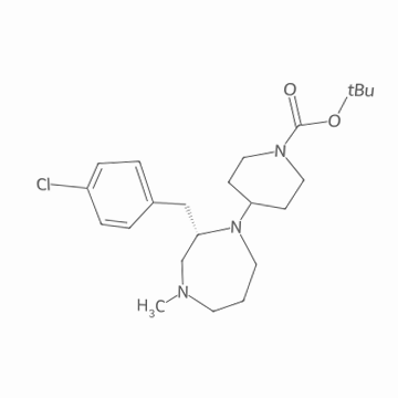 CN1CCCN(C2CCN(C(=O)OC(C)(C)C)CC2)[C@@H](Cc2ccc(Cl)cc2)C1